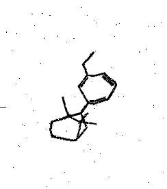 [CH2]Cc1cccc(C2CC3CCC2(C)C3(C)C)c1